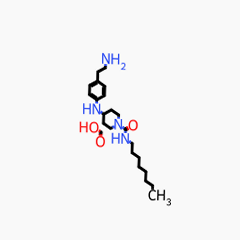 CCCCCCCCNC(=O)N1CCC(Nc2ccc(CCN)cc2)CC1.O=CO